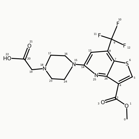 COC(=O)c1csc2c(C(F)(F)F)cc(N3CCN(CC(=O)O)CC3)nc12